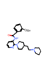 COc1cccc(C(=O)Nc2cccnc2N2CCC(CCN3CCCCC3)CC2)c1